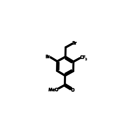 COC(=O)c1cc(Br)c(CBr)c(C(F)(F)F)c1